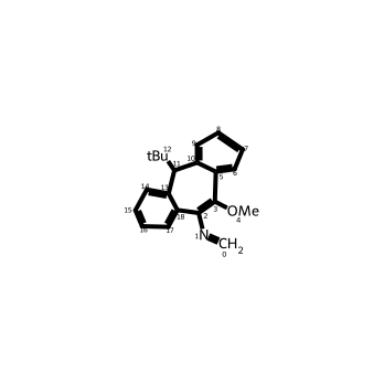 C=NC1=C(OC)c2ccccc2C(C(C)(C)C)c2ccccc21